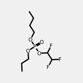 CCCCOP(=O)(OCCC)OC(F)C(F)F